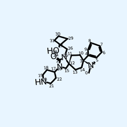 CN(C)[C@]1(c2ccccc2)CC[C@@]2(CC1)CN(C1CCNCC1)C(=O)N2CC1(O)CCC1